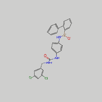 O=C(NCc1cc(Cl)cc(Cl)c1)Nc1ccc(N[S+]([O-])c2ccccc2-c2ccccc2)cc1